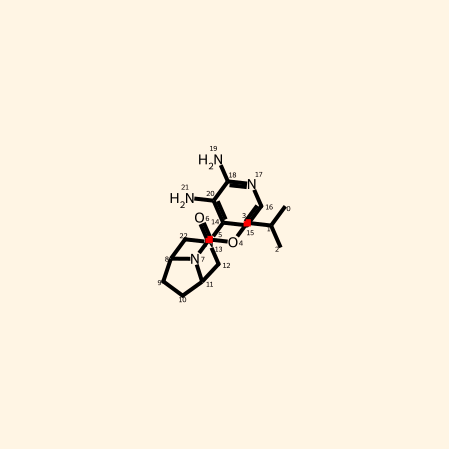 CC(C)COC(=O)N1C2CCC1CN(c1ccnc(N)c1N)C2